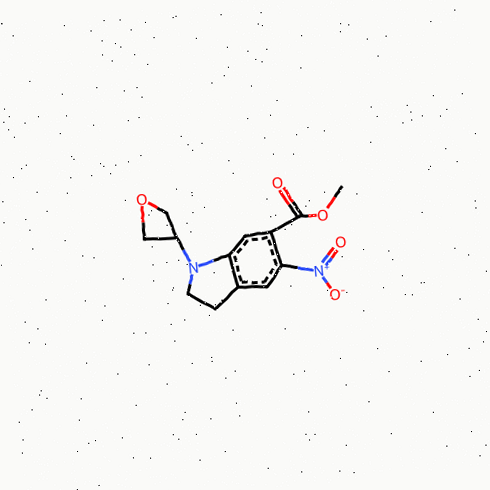 COC(=O)c1cc2c(cc1[N+](=O)[O-])CCN2C1COC1